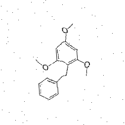 COc1cc(OC)c(Cc2ccccc2)c(OC)c1